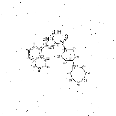 Cc1nc(-c2cccc3ccccc23)sc1C(=O)N1CCC(N2CCCCCC2)CC1